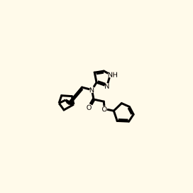 O=C(COC1C=CC=CC1)N(/C=C1/C2C3CCC12C3)c1cc[nH]n1